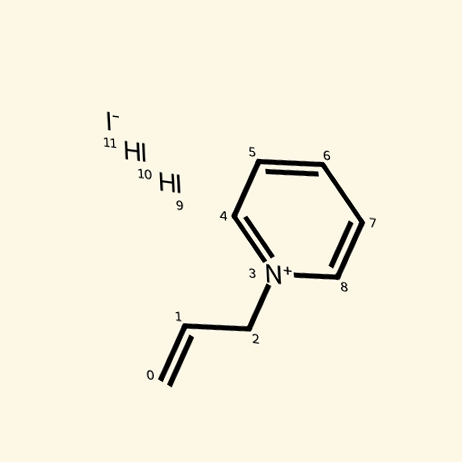 C=CC[n+]1ccccc1.I.I.[I-]